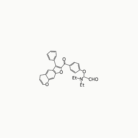 CCN(CC)C(C=O)Oc1ccc(C(=O)c2oc3cc4c(cc3c2-c2ccccc2)CC=CO4)cc1